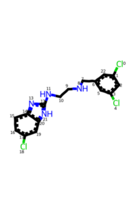 Clc1cc(Cl)cc(CNCCNc2nc3ccc(Cl)cc3[nH]2)c1